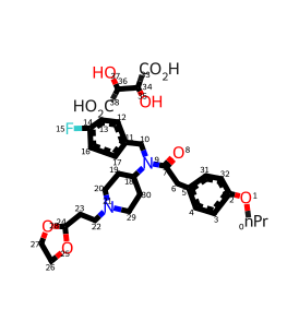 CCCOc1ccc(CC(=O)N(Cc2ccc(F)cc2)C2CCN(CCC3OCCO3)CC2)cc1.O=C(O)C(O)C(O)C(=O)O